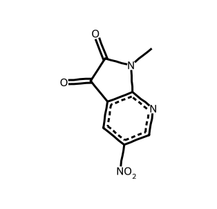 CN1C(=O)C(=O)c2cc([N+](=O)[O-])cnc21